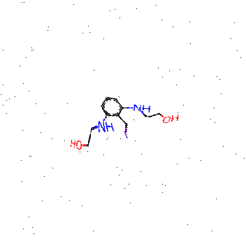 OCCNc1cccc(NCCO)c1CI